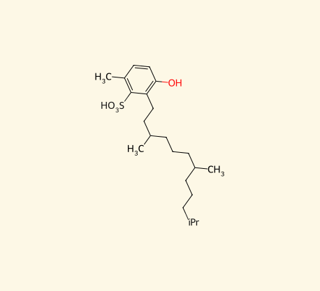 Cc1ccc(O)c(CCC(C)CCCC(C)CCCC(C)C)c1S(=O)(=O)O